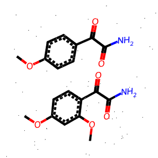 COc1ccc(C(=O)C(N)=O)c(OC)c1.COc1ccc(C(=O)C(N)=O)cc1